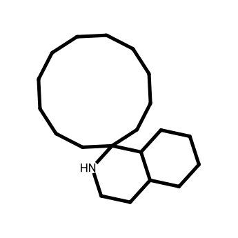 C1CCCCCC2(CCCCC1)NCCC1CCCCC12